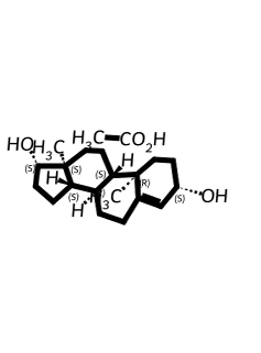 CC(=O)O.C[C@]12CC[C@H]3[C@@H](CCC4=C[C@@H](O)CC[C@@]43C)[C@@H]1CC[C@@H]2O